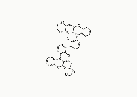 c1ccc2c(c1)Sc1c3c(cc4c1B2c1cccc(-c2cccc5c2Sc2c6c(cc7c2B5c2ccccc2S7)OCCO6)c1S4)OCO3